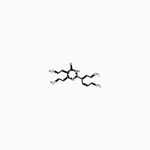 C=C/C=C\C(=C/C=C)c1nc(=C/C=C)/c(=C\C=C)c(=O)[nH]1